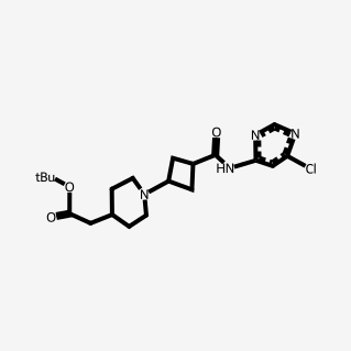 CC(C)(C)OC(=O)CC1CCN(C2CC(C(=O)Nc3cc(Cl)ncn3)C2)CC1